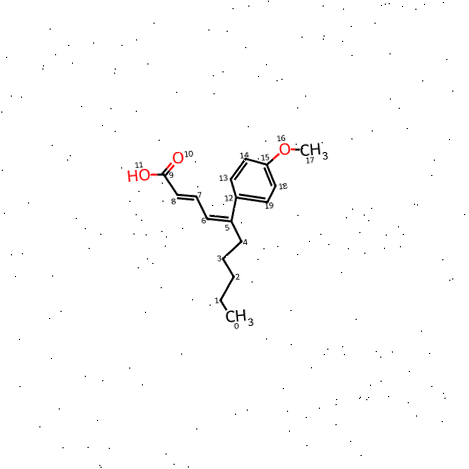 CCCCC/C(=C/C=C/C(=O)O)c1ccc(OC)cc1